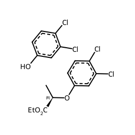 CCOC(=O)[C@@H](C)Oc1ccc(Cl)c(Cl)c1.Oc1ccc(Cl)c(Cl)c1